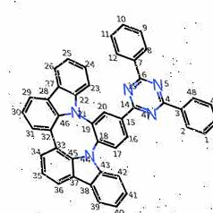 c1ccc(-c2nc(-c3ccccc3)nc(-c3ccc4c(c3)n3c5ccccc5c5cccc(c6cccc7c8ccccc8n4c76)c53)n2)cc1